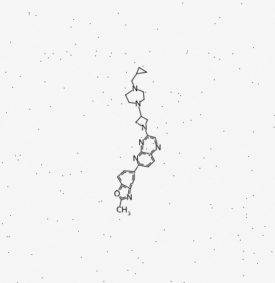 Cc1nc2cc(-c3ccc4ncc(N5CC(N6CCN(CC7CC7)CC6)C5)nc4n3)ccc2o1